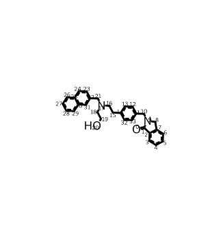 O=C1c2ccccc2CN1Cc1ccc(CCN(CCO)Cc2ccc3ccccc3c2)cc1